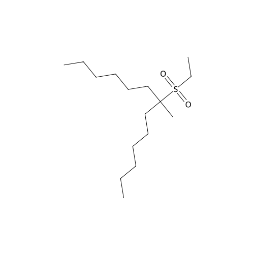 CCCCCCC(C)(CCCCCC)S(=O)(=O)CC